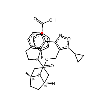 O=C(O)c1ccc2c(c1)CCN2C(=O)N1[C@@H]2CC[C@H]1CC(OCc1c(-c3ccccc3F)noc1C1CC1)C2